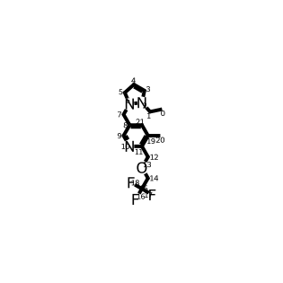 CCN1C=CCN1Cc1cnc(COCC(F)(F)F)c(C)c1